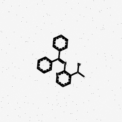 CC(Br)c1cccnc1N=C(c1ccccc1)c1ccccc1